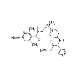 Cc1cc(C#N)nc(C)c1C(=O)NCC[C@@H](C)N1CCC(NC(C(=O)CC#N)c2ccsc2)CC1